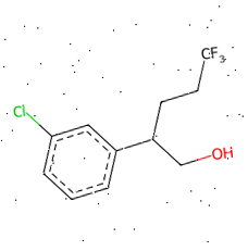 OCC(CCC(F)(F)F)c1cccc(Cl)c1